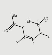 CCN(CC)C(C)/N=C(/C)CC(=O)C(C)(C)C